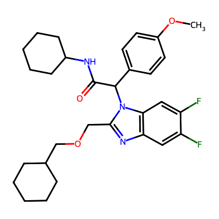 COc1ccc(C(C(=O)NC2CCCCC2)n2c(COCC3CCCCC3)nc3cc(F)c(F)cc32)cc1